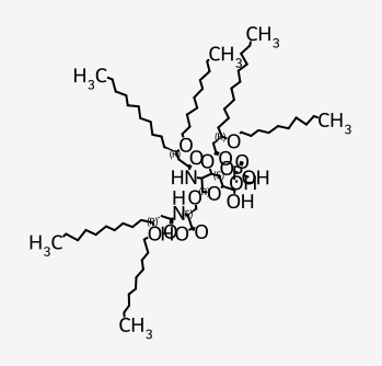 CCCCCCCCCCC[C@H](CC(=O)NC1C(OC(=O)C[C@@H](CCCCCCCCCCC)OCCCCCCCCCC)[C@H](OP(=O)(O)O)C(CO)O[C@H]1OC[C@H](NC(=O)C[C@@H](CCCCCCCCCC)OCCCCCCCCCC)C(=O)O)OCCCCCCCCCC